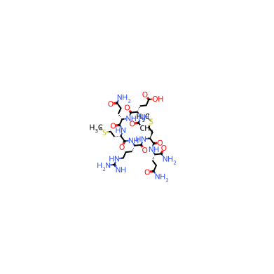 CSCC[C@H](NC(=O)[C@H](CCCNC(=N)N)NC(=O)[C@H](CCSC)NC(=O)[C@H](CCC(N)=O)NC(=O)[C@H](CCC(=O)O)NC(C)=O)C(=O)N[C@@H](CCC(N)=O)C(N)=O